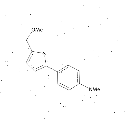 CNc1ccc(-c2ccc(COC)s2)cc1